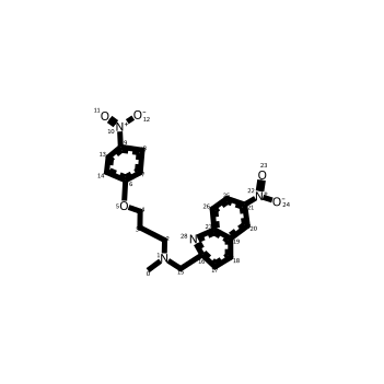 CN(CCCOc1ccc([N+](=O)[O-])cc1)Cc1ccc2cc([N+](=O)[O-])ccc2n1